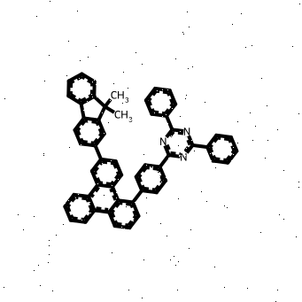 CC1(C)c2ccccc2-c2ccc(-c3ccc4c(c3)c3ccccc3c3cccc(-c5ccc(-c6nc(-c7ccccc7)nc(-c7ccccc7)n6)cc5)c34)cc21